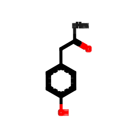 CCCCCCC(=O)Cc1ccc(O)cc1